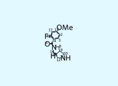 COc1ccc(C(=O)N2CC3CNC[C@@H]3C2)c(F)c1